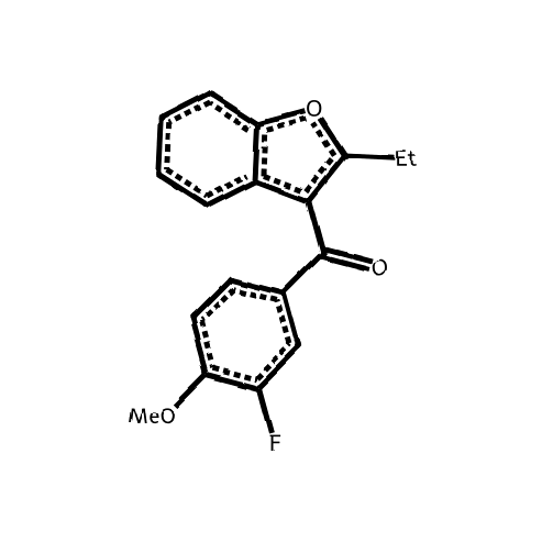 CCc1oc2ccccc2c1C(=O)c1ccc(OC)c(F)c1